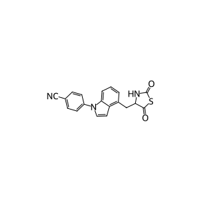 N#Cc1ccc(-n2ccc3c(CC4NC(=O)SC4=O)cccc32)cc1